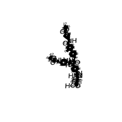 Cc1cc(C(=O)NC2C3CN(C(=O)OC(C)(C)C)CC32)ccc1-c1ccc(C[C@H](NC(=O)[C@H]2CC[C@H](CNC(=O)OC(C)(C)C)CC2)C(=O)Nc2ccc(-c3nnc(C(F)(F)C(F)(F)C(=O)O)[nH]3)cc2)cc1